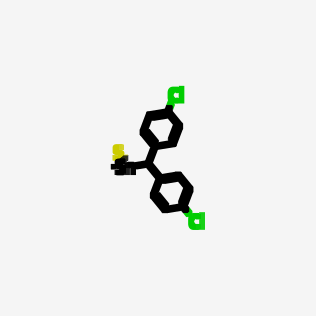 [S]=[Sn][CH](c1ccc(Cl)cc1)c1ccc(Cl)cc1